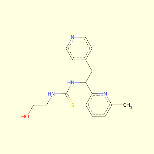 Cc1cccc(C(Cc2ccncc2)NC(=S)NCCO)n1